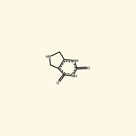 O=c1[nH]c2c(c(=O)[nH]1)CNC2